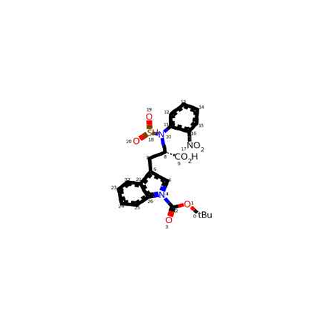 CC(C)(C)OC(=O)n1cc(C[C@@H](C(=O)O)N(c2ccccc2[N+](=O)[O-])[SH](=O)=O)c2ccccc21